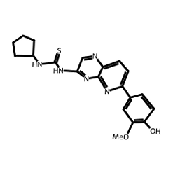 COc1cc(-c2ccc3ncc(NC(=S)NC4CCCC4)nc3n2)ccc1O